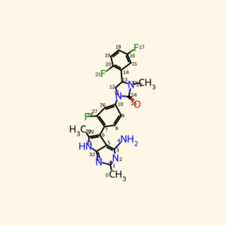 Cc1nc(N)c2c(-c3ccc(N4CC(c5cc(F)ccc5F)N(C)C4=O)cc3F)c(C)[nH]c2n1